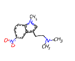 CN(C)CCc1cn(C)c2ccc([N+](=O)[O-])cc12